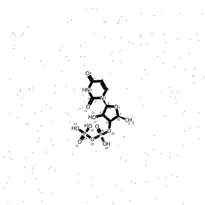 C[C@@H]1O[C@H](n2ccc(=O)[nH]c2=O)C(O)C1OP(=O)(O)OP(=O)(O)O